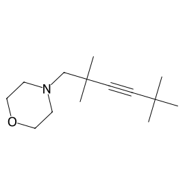 CC(C)(C)C#CC(C)(C)CN1CCOCC1